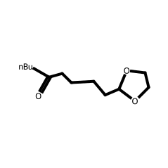 CCCCC(=O)CCCCC1OCCO1